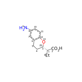 CCC(C(=O)O)[C@@H]1CCc2cc(N)ccc2O1